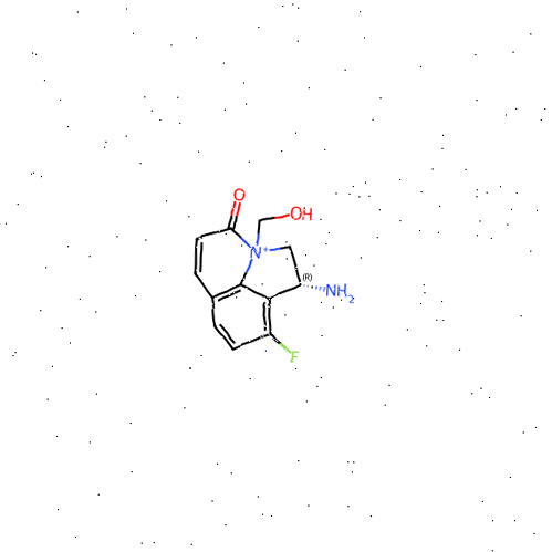 N[C@H]1C[N+]2(CO)C(=O)C=Cc3ccc(F)c1c32